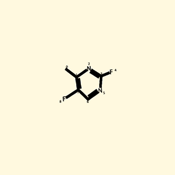 Cc1nc(F)n[c]c1F